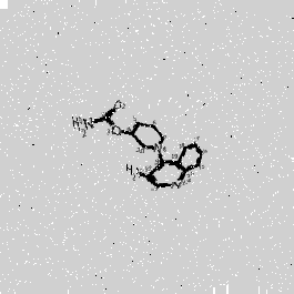 NC(=O)OC1CCCN(c2c(N)cnc3ccccc23)C1